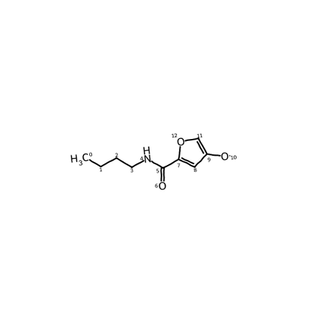 CCCCNC(=O)c1cc([O])co1